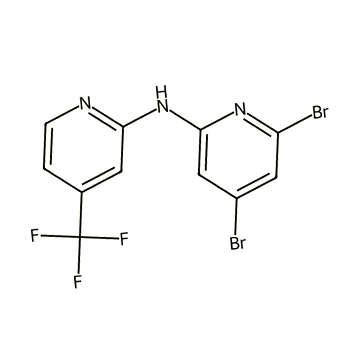 FC(F)(F)c1ccnc(Nc2cc(Br)cc(Br)n2)c1